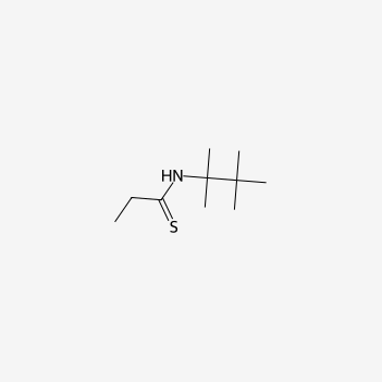 CCC(=S)NC(C)(C)C(C)(C)C